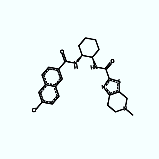 CN1CCc2nc(C(=O)N[C@@H]3CCCC[C@@H]3NC(=O)c3ccc4cc(Cl)ccc4c3)sc2C1